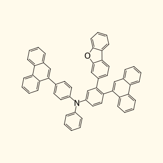 c1ccc(N(c2ccc(-c3cc4ccccc4c4ccccc34)cc2)c2ccc(-c3cc4ccccc4c4ccccc34)c(-c3ccc4c(c3)oc3ccccc34)c2)cc1